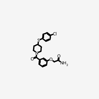 NC(=O)COc1cccc(C(=O)N2CCC(Sc3ccc(Cl)cc3)CC2)c1